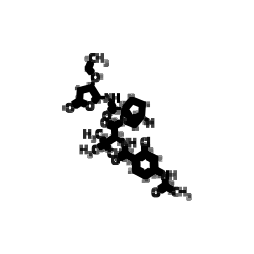 CCO[C@H]1CC(=O)O[C@H]1NC(=O)[C@@]12CC[C@@H](CN1C(=O)[C@@H](NC(=O)c1ccc(NC(C)=O)cc1Cl)C(C)(C)C)C2